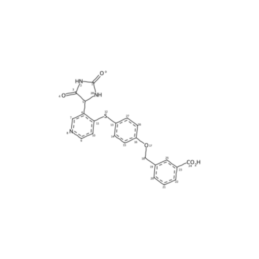 O=C1NC(=O)C(c2cnccc2Sc2ccc(OCc3cccc(C(=O)O)c3)cc2)N1